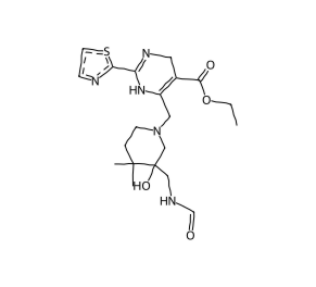 CCOC(=O)C1=C(CN2CCC(C)(C)C(O)(CNC=O)C2)NC(c2nccs2)=NC1